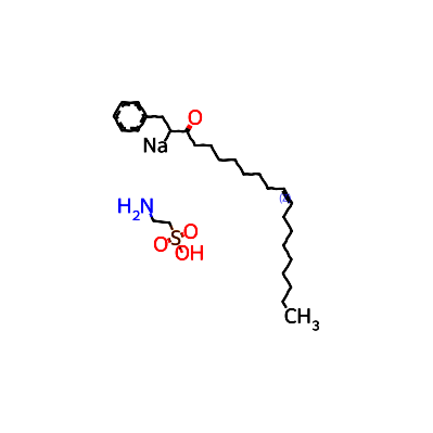 CCCCCCCC/C=C\CCCCCCCC(=O)[CH]([Na])Cc1ccccc1.NCCS(=O)(=O)O